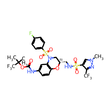 Cn1cc(S(=O)(=O)NC[C@H]2CN(S(=O)(=O)c3ccc(F)cc3)c3cc(NC(=O)OC(C)(C)C(F)(F)F)ccc3O2)c(C(F)(F)F)n1